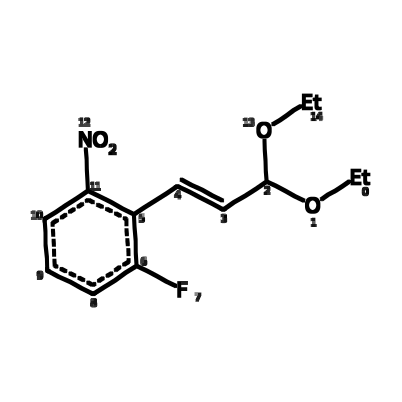 CCOC(C=Cc1c(F)cccc1[N+](=O)[O-])OCC